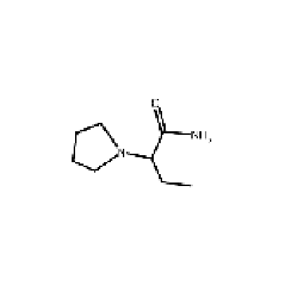 CCC(C(N)=O)N1CCCC1